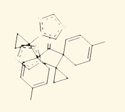 O=C(C1(C2(n3cncn3)CC2)C=CC(F)=CC1)C1(C2(n3cncn3)CC2)C=CC(F)=CC1